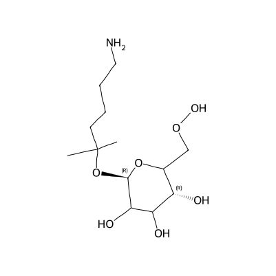 CC(C)(CCCCN)O[C@H]1OC(COO)[C@H](O)C(O)C1O